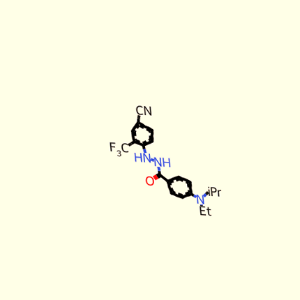 CCN(c1ccc(C(=O)NNc2ccc(C#N)cc2C(F)(F)F)cc1)C(C)C